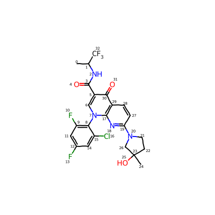 CC(NC(=O)c1cn(-c2c(F)cc(F)cc2Cl)c2nc(N3CCC(C)(O)C3)ccc2c1=O)C(F)(F)F